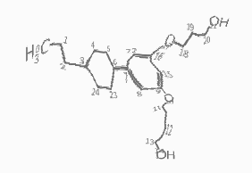 CCCC1CCC(c2cc(OCCCO)cc(OCCCO)c2)CC1